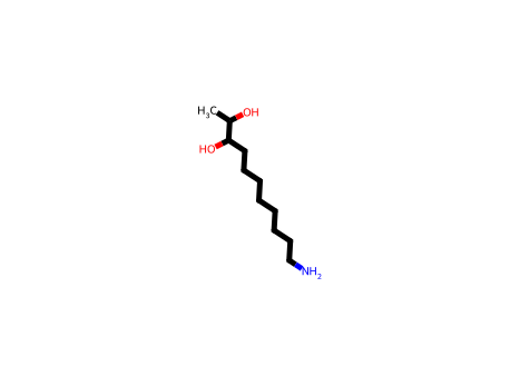 CC(O)C(O)CCCCCCCCN